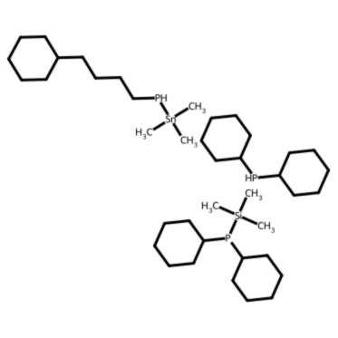 C1CCC(PC2CCCCC2)CC1.C[Si](C)(C)P(C1CCCCC1)C1CCCCC1.[CH3][Sn]([CH3])([CH3])[PH]CCCCC1CCCCC1